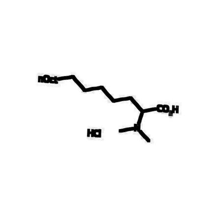 CCCCCCCCCCCCCC(C(=O)O)N(C)C.Cl